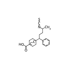 CC(CCC(c1ccccc1)C12CCC(C(=O)O)(CC1)CC2)N=C=S